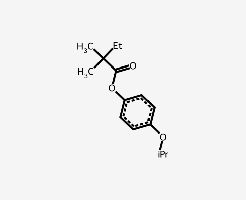 CCC(C)(C)C(=O)Oc1ccc(OC(C)C)cc1